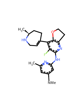 CNc1cc(C)nc(Nc2nc3c(c(C4=CCN[C@@H](C)CC4)c2F)OCC3)c1